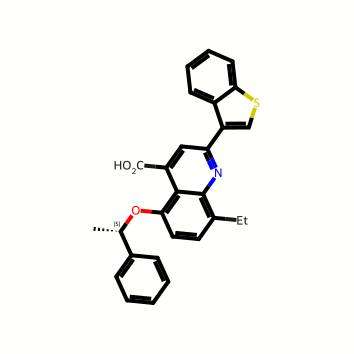 CCc1ccc(O[C@@H](C)c2ccccc2)c2c(C(=O)O)cc(-c3csc4ccccc34)nc12